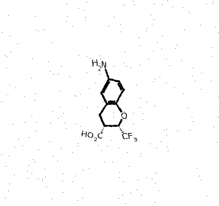 Nc1ccc2c(c1)C[C@@H](C(=O)O)[C@@H](C(F)(F)F)O2